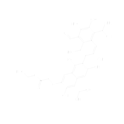 CCOC(=O)COc1cc2c(O)c(-c3c(C)cc4c(C(C)C)c(O)c(O)c(C=O)c4c3O)c(C)cc2c(C(C)C)c1O